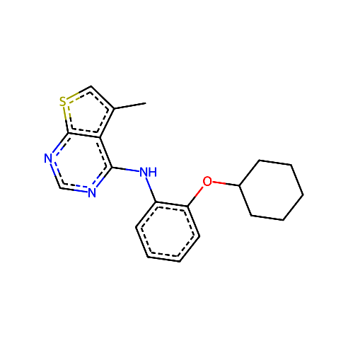 Cc1csc2ncnc(Nc3ccccc3OC3CCCCC3)c12